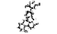 Cc1cnccc1Nc1nc(-c2cc(Cl)ccc2F)ncc1OCc1cccc(O)c1